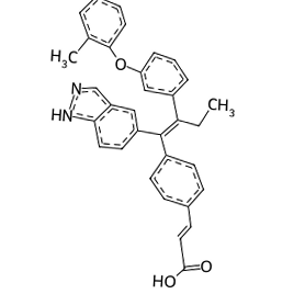 CCC(=C(c1ccc(C=CC(=O)O)cc1)c1ccc2[nH]ncc2c1)c1cccc(Oc2ccccc2C)c1